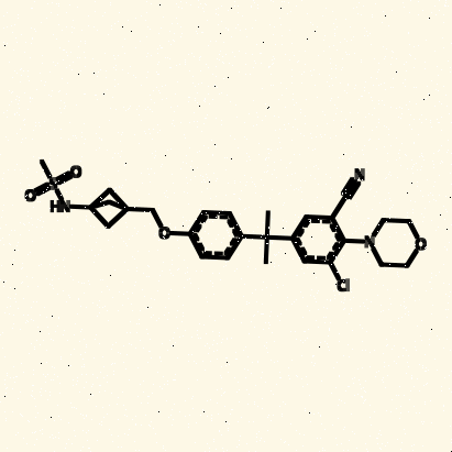 CC(C)(c1ccc(OCC23CC(NS(C)(=O)=O)(C2)C3)cc1)c1cc(Cl)c(N2CCOCC2)c(C#N)c1